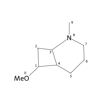 COC1CC2C1CCCN2C